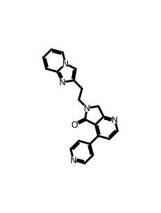 O=C1c2c(-c3ccncc3)ccnc2CN1CCc1cn2ccccc2n1